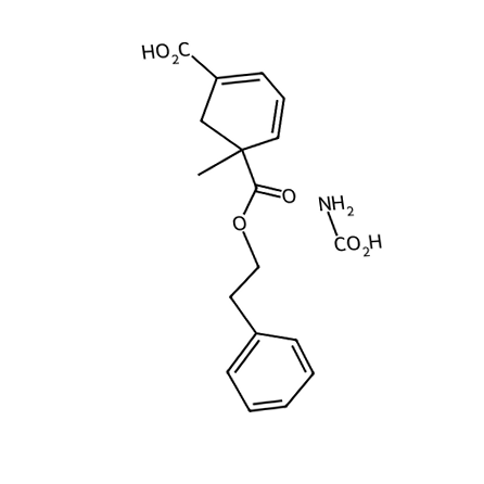 CC1(C(=O)OCCc2ccccc2)C=CC=C(C(=O)O)C1.NC(=O)O